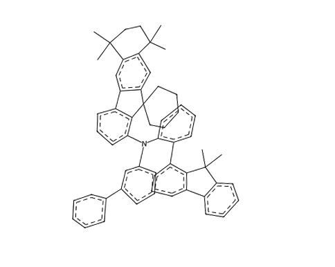 CC1(C)CCC(C)(C)c2cc3c(cc21)-c1cccc(N(c2cccc(-c4ccccc4)c2)c2ccccc2-c2cccc4c2C(C)(C)c2ccccc2-4)c1C31CCCCC1